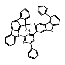 CC1(C)c2ccccc2-c2ccc3c4ccccc4n(-c4nc(-c5ccccc5)nc(-c5ccc6c(c5)oc5cccc(-c7ccccc7)c56)n4)c3c21